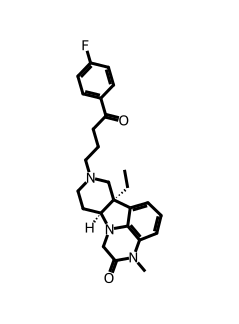 CC[C@@]12CN(CCCC(=O)c3ccc(F)cc3)CC[C@@H]1N1CC(=O)N(C)c3cccc2c31